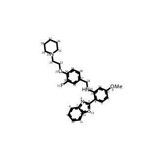 COc1ccc(-c2nc3ccccc3s2)c(NCc2ccc(OCCN3CCCCC3)c(F)c2)c1